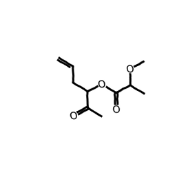 C=CCC(OC(=O)C(C)OC)C(C)=O